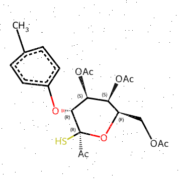 CC(=O)OC[C@H]1O[C@](S)(C(C)=O)[C@H](Oc2ccc(C)cc2)[C@@H](OC(C)=O)[C@H]1OC(C)=O